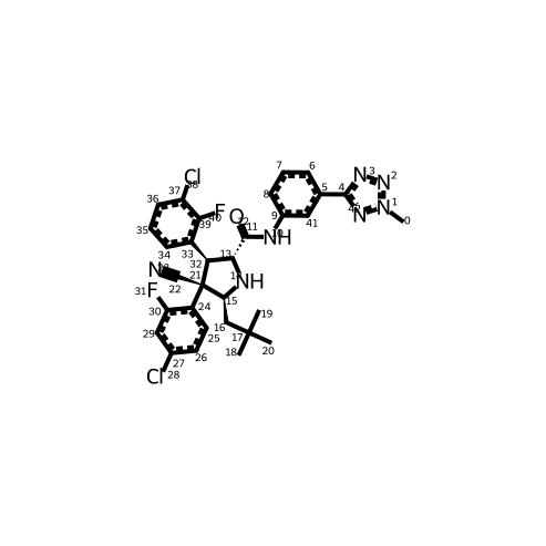 Cn1nnc(-c2cccc(NC(=O)[C@@H]3N[C@@H](CC(C)(C)C)[C@](C#N)(c4ccc(Cl)cc4F)[C@H]3c3cccc(Cl)c3F)c2)n1